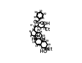 CCC(O)CC([C@@H](C)[C@H]1CC[C@H]2[C@@H]3CC=C4C[C@](O)(CC)CC[C@@H]4C3CC[C@]12C)S(=O)(=O)c1ccccc1